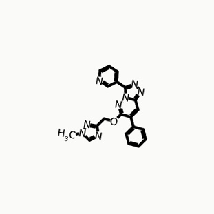 Cn1cnc(COc2nn3c(-c4cccnc4)nnc3cc2-c2ccccc2)n1